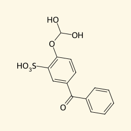 O=C(c1ccccc1)c1ccc(OC(O)O)c(S(=O)(=O)O)c1